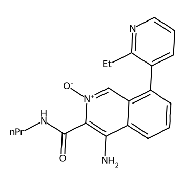 CCCNC(=O)c1c(N)c2cccc(-c3cccnc3CC)c2c[n+]1[O-]